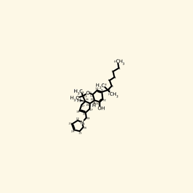 CCCCCCC(C)(C)C1=CC2OC(C)(C)[C@H]3CC=C(CN4CC=CCC4)CC3[C@@H]2C(O)=C1